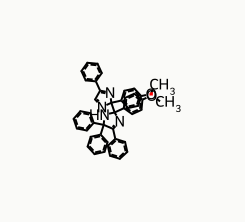 COc1ccc(C2(C3(c4ccc(OC)cc4)N=C(c4ccccc4)C(c4ccccc4)(c4ccccc4)N3)N=CC(c3ccccc3)=N2)cc1